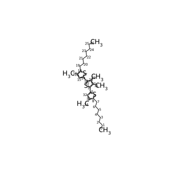 CCCCCCCCc1sc(-c2sc(-c3cc(C)c(CCCCCCCC)s3)c(C)c2C)cc1C